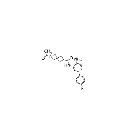 CC(=O)N1CC2(CC(C(=O)Nc3cc(-c4ccc(F)cc4)ccc3N)C2)C1